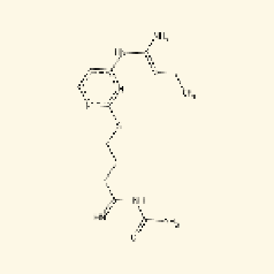 N=C(CCCSc1nccc(NC(N)=NCC(F)(F)F)n1)NC(N)=O